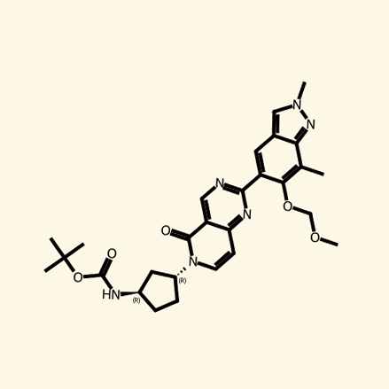 COCOc1c(-c2ncc3c(=O)n([C@@H]4CC[C@@H](NC(=O)OC(C)(C)C)C4)ccc3n2)cc2cn(C)nc2c1C